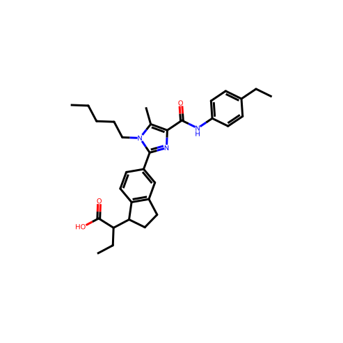 CCCCCn1c(-c2ccc3c(c2)CCC3C(CC)C(=O)O)nc(C(=O)Nc2ccc(CC)cc2)c1C